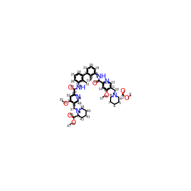 COC(=O)[C@@H]1CCCCN1Cc1cnc(C(=O)Nc2cccc(-c3cccc(NC(=O)c4cc(OC)c(CN5CCCC[C@H]5C(=O)OC)cn4)c3C)c2C)cc1OC